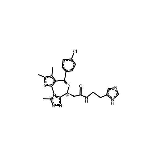 Cc1sc2c(c1C)C(c1ccc(Cl)cc1)=N[C@@H](CC(=O)NCCc1cnc[nH]1)c1nnc(C)n1-2